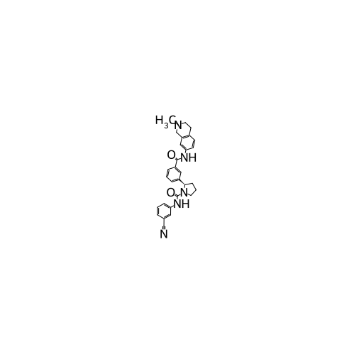 CN1CCc2ccc(NC(=O)c3cccc([C@H]4CCCN4C(=O)Nc4cccc(C#N)c4)c3)cc2C1